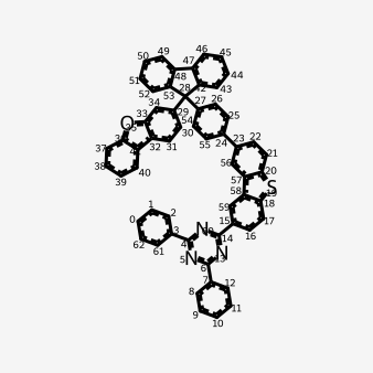 c1ccc(-c2nc(-c3ccccc3)nc(-c3ccc4sc5ccc(-c6ccc(C7(c8ccc9c(c8)oc8ccccc89)c8ccccc8-c8ccccc87)cc6)cc5c4c3)n2)cc1